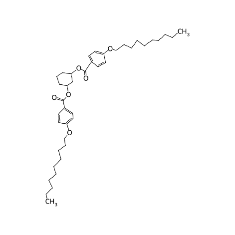 CCCCCCCCCCOc1ccc(C(=O)OC2CCCC(OC(=O)c3ccc(OCCCCCCCCCC)cc3)C2)cc1